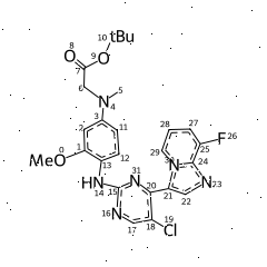 COc1cc(N(C)CC(=O)OC(C)(C)C)ccc1Nc1ncc(Cl)c(-c2cnc3c(F)cccn23)n1